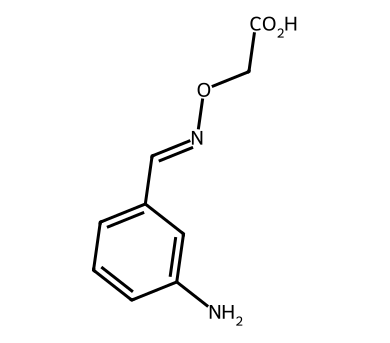 Nc1cccc(C=NOCC(=O)O)c1